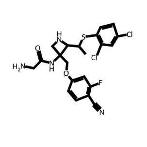 CC(Sc1ccc(Cl)cc1Cl)C1NCC1(COc1ccc(C#N)c(F)c1)NC(=O)CN